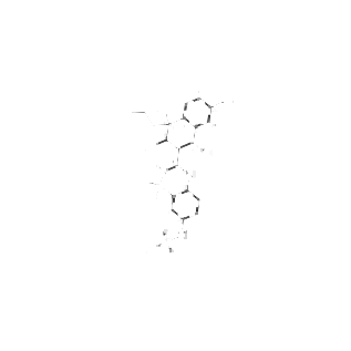 CC(C)(C)CC[C@@]1(C)C(=O)C(C2=NS(O)(O)c3cc(NS(C)(=O)=O)ccc3N2)=C(O)c2cc(F)ccc21